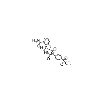 CC1(Cc2ccnc(C(N)=O)c2)NC(=O)N(c2ccc(S(=O)(=O)C(F)(F)F)cc2)C1=O